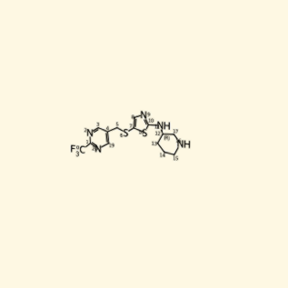 FC(F)(F)c1ncc(CSc2cnc(N[C@@H]3CCCNC3)s2)cn1